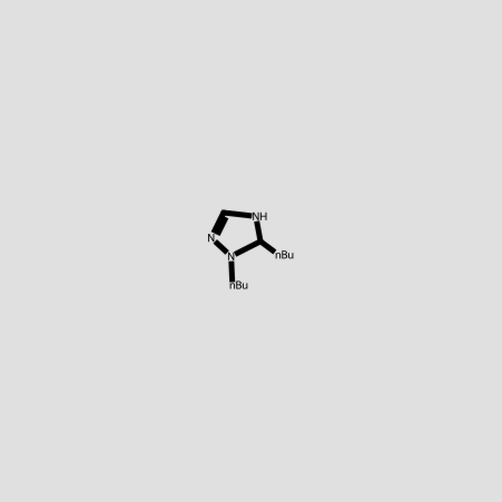 CCCCC1NC=NN1CCCC